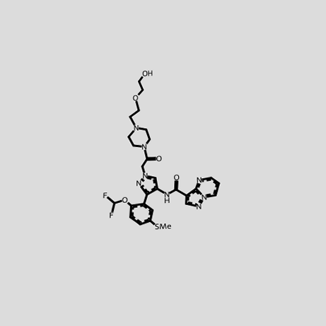 CSc1ccc(OC(F)F)c(-c2nn(CC(=O)N3CCN(CCOCCO)CC3)cc2NC(=O)c2cnn3cccnc23)c1